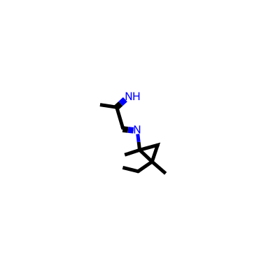 CCC1(C)CC1(C)/N=C/C(C)=N